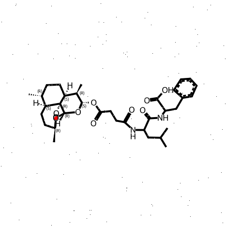 CC(C)CC(NC(=O)CCC(=O)O[C@@H]1O[C@@H]2O[C@@]3(C)CC[C@H]4[C@H](C)CC[C@@H]([C@H]1C)[C@@]24OO3)C(=O)NC(Cc1ccccc1)C(=O)O